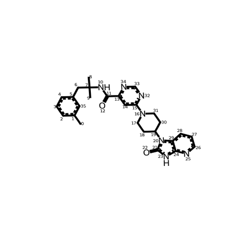 Cc1cccc(CC(C)(C)NC(=O)c2cc(N3CCC(n4c(=O)[nH]c5ncccc54)CC3)ncn2)c1